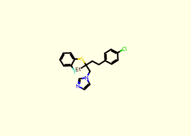 CCC(CCc1ccc(Cl)cc1)(Cn1ccnc1)Sc1ccccc1F